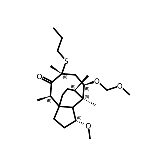 CCCS[C@]1(C)C[C@@H](OCOC)[C@@]2(C)C3[C@H](OC)CCC3(CC[C@H]2C)[C@@H](C)C1=O